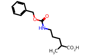 CC(CCCNC(=O)OCc1ccccc1)C(=O)O